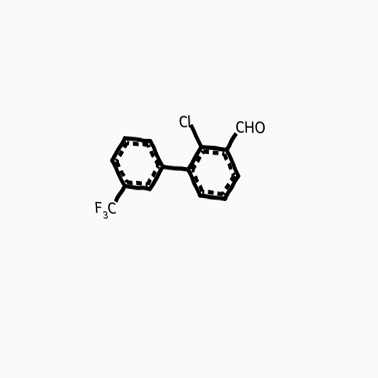 O=Cc1cccc(-c2cccc(C(F)(F)F)c2)c1Cl